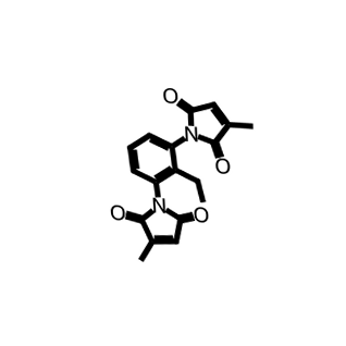 CCc1c(N2C(=O)C=C(C)C2=O)cccc1N1C(=O)C=C(C)C1=O